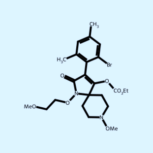 CCOC(=O)OC1=C(c2c(C)cc(C)cc2Br)C(=O)N(OCCOC)C12CCN(OC)CC2